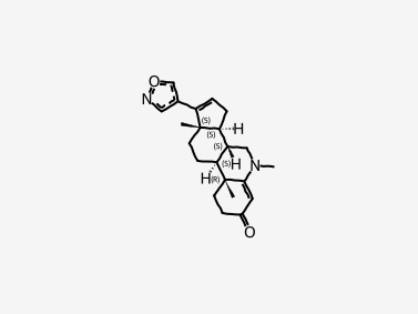 CN1C[C@@H]2[C@H](CC[C@]3(C)C(c4cnoc4)=CC[C@@H]23)[C@@]2(C)CCC(=O)C=C12